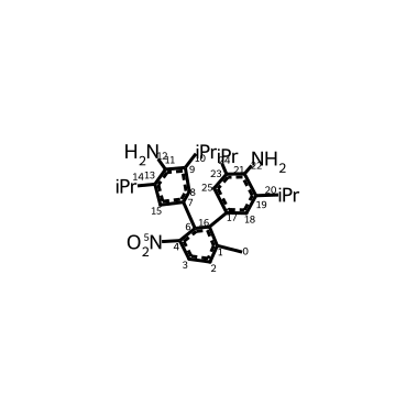 Cc1ccc([N+](=O)[O-])c(-c2cc(C(C)C)c(N)c(C(C)C)c2)c1-c1cc(C(C)C)c(N)c(C(C)C)c1